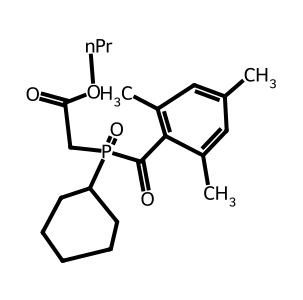 CCCOC(=O)CP(=O)(C(=O)c1c(C)cc(C)cc1C)C1CCCCC1